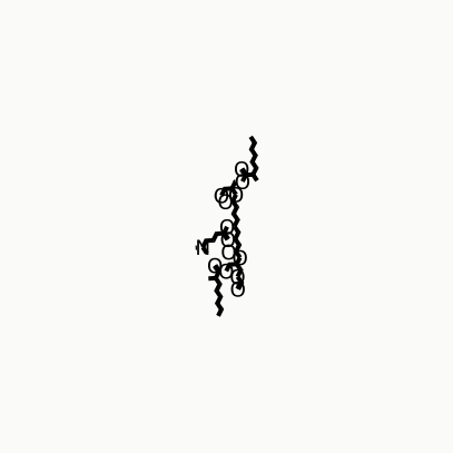 CCCCCCC(C)C(=O)OCC(COC)OC(=O)CCCC(CCCC(=O)OC(COC=O)COC(=O)C(C)CCCCCC)OC(=O)CCCN(C)C